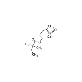 CCC(C)(C)C(=O)OC1CCC2(C)CC1OC2=O